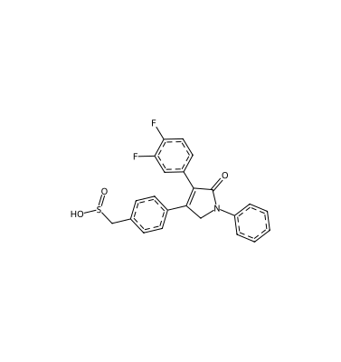 O=C1C(c2ccc(F)c(F)c2)=C(c2ccc(CS(=O)O)cc2)CN1c1ccccc1